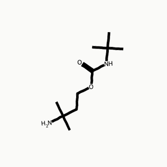 CC(C)(N)CCOC(=O)NC(C)(C)C